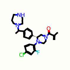 C=C(C)C(=O)N1CCN(c2ccc(Cl)cc2F)[C@H](c2ccc(C(C)N3CCCNCC3)cc2)C1